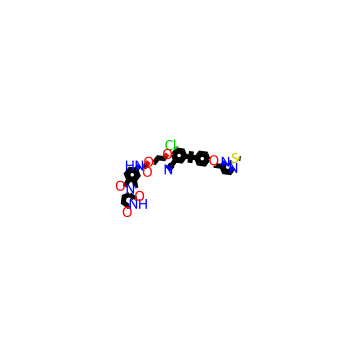 CSc1nccc(COc2ccc(C(C)(C)c3cc(Cl)c(OCCCOC(=O)Nc4ccc5c(c4)CN(C4CCC(=O)NC4=O)C5=O)c(C#N)c3)cc2)n1